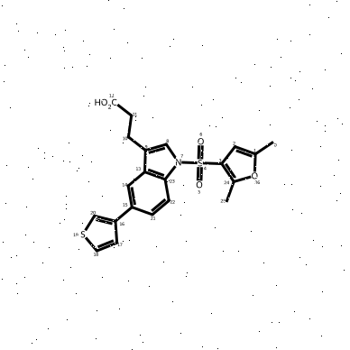 Cc1cc(S(=O)(=O)n2cc(CCC(=O)O)c3cc(-c4ccsc4)ccc32)c(C)o1